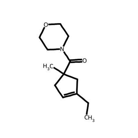 CCC1=CCC(C)(C(=O)N2CCOCC2)C1